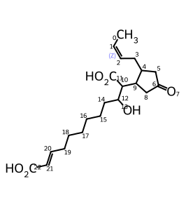 C/C=C\CC1CC(=O)CC1C(C(=O)O)C(O)CCCCCCC=CC(=O)O